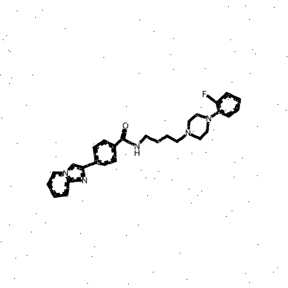 O=C(NCCCCN1CCN(c2ccccc2F)CC1)c1ccc(-c2cn3ccccc3n2)cc1